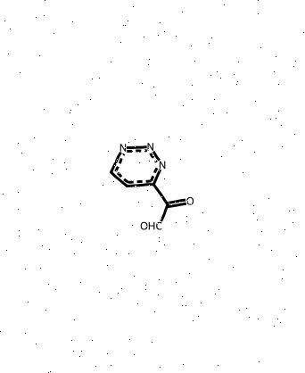 O=CC(=O)c1ccnnn1